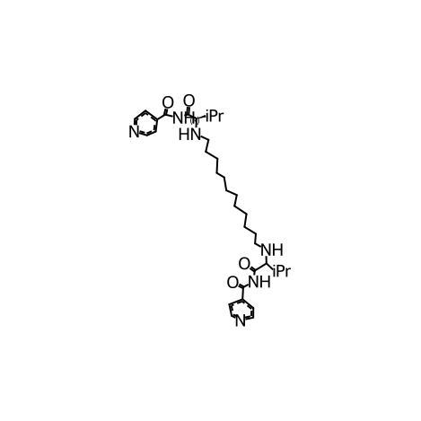 CC(C)C(NCCCCCCCCCCCCN[C@@H](C(=O)NC(=O)c1ccncc1)C(C)C)C(=O)NC(=O)c1ccncc1